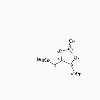 CCCC1OC(=O)OC1COC